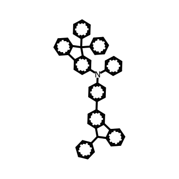 c1ccc(C2c3ccccc3-c3cc(-c4ccc(N(c5ccccc5)c5ccc6c(c5)C(c5ccccc5)(c5ccccc5)c5ccccc5-6)cc4)ccc32)cc1